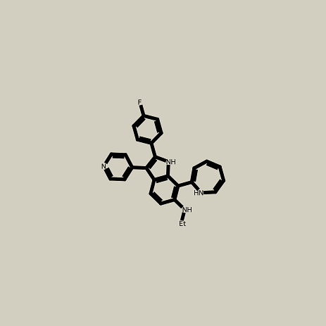 CCNc1ccc2c(-c3ccncc3)c(-c3ccc(F)cc3)[nH]c2c1C1=CC=CC=CN1